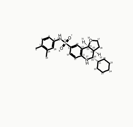 Cc1ccc(NS(=O)(=O)c2ccc3c(c2)[C@H]2OCC[C@H]2[C@H](C2CCCCC2)N3)cc1C